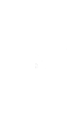 Cc1ccc(CNS(=O)(=O)c2ccc(F)c(F)c2)cc1C